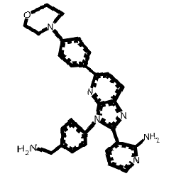 NCc1ccc(-n2c(-c3cccnc3N)nc3ccc(-c4ccc(N5CCOCC5)cc4)nc32)cc1